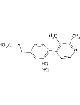 Cc1nccc(-c2ccc(CCC(=O)O)cc2)c1C.Cl.Cl